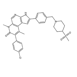 Cc1c(-c2ccc(Cl)cc2)c(=O)n(C)c2cnc3[nH]c(-c4ccc(CN5CCC(S(C)(=O)=O)CC5)cc4)cc3c12